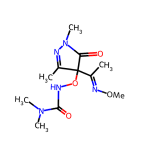 CO/N=C(\C)C1(ONC(=O)N(C)C)C(=O)N(C)N=C1C